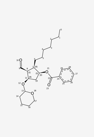 CCCCCCC[C@@H]1[C@H](C=O)[C@H](OC2CCCCO2)C[C@@H]1OC(=O)c1ccccc1